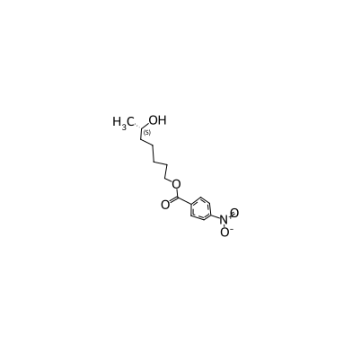 C[C@H](O)CCCCCOC(=O)c1ccc([N+](=O)[O-])cc1